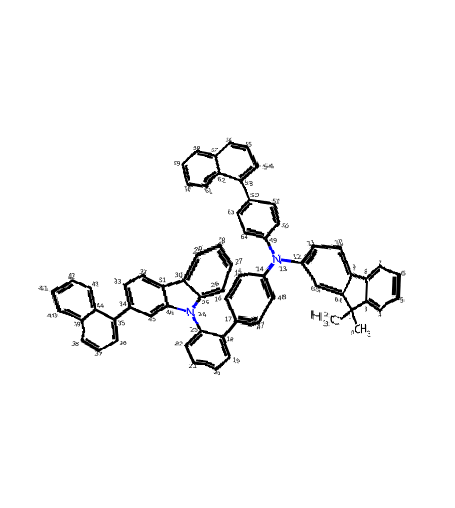 CC1(C)c2ccccc2-c2ccc(N(c3ccc(-c4ccccc4-n4c5ccccc5c5ccc(-c6cccc7ccccc67)cc54)cc3)c3ccc(-c4cccc5ccccc45)cc3)cc21